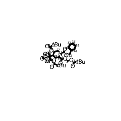 CC(C)(C)C(=O)OCOC(=O)C1CC(C(COC(=O)C(C)(C)C)(COC(=O)C(C)(C)C)P(=O)(O)O)CCN1C(=O)OCc1ccccc1